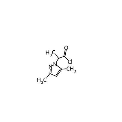 Cc1cc(C)n(C(C)C(=O)Cl)n1